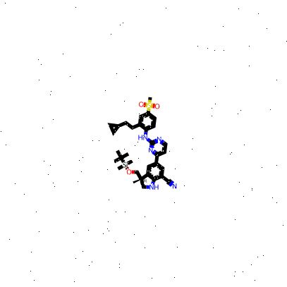 CC(C)(C)[Si](C)(C)OC[C@@]1(C)CNc2c(C#N)cc(-c3ccnc(Nc4ccc(S(C)(=O)=O)cc4CCC4CC4)n3)cc21